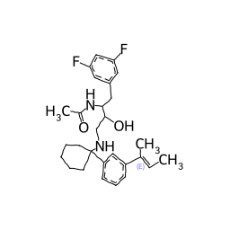 C/C=C(\C)c1cccc(C2(NCC(O)C(Cc3cc(F)cc(F)c3)NC(C)=O)CCCCC2)c1